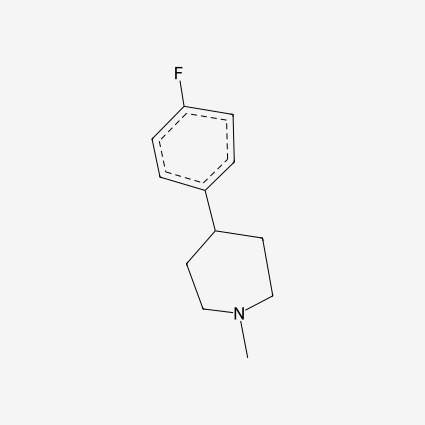 CN1CCC(c2ccc(F)cc2)CC1